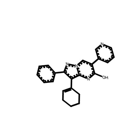 Oc1nc2c(C3=CCCCC3)c(-c3ccccc3)nn2cc1-c1cccnc1